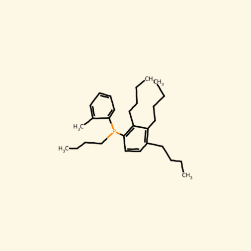 CCCCc1ccc(P(CCCC)c2ccccc2C)c(CCCC)c1CCCC